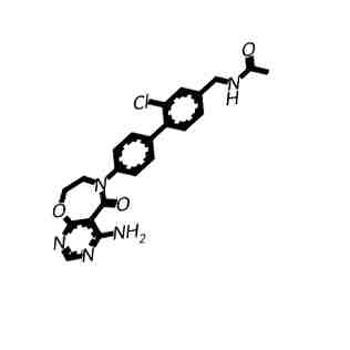 CC(=O)NCc1ccc(-c2ccc(N3CCOc4ncnc(N)c4C3=O)cc2)c(Cl)c1